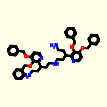 NCCC(CCNCCC(CCN)c1nccc(OCc2ccccc2)c1OCc1ccccc1)c1nccc(OCc2ccccc2)c1OCc1ccccc1